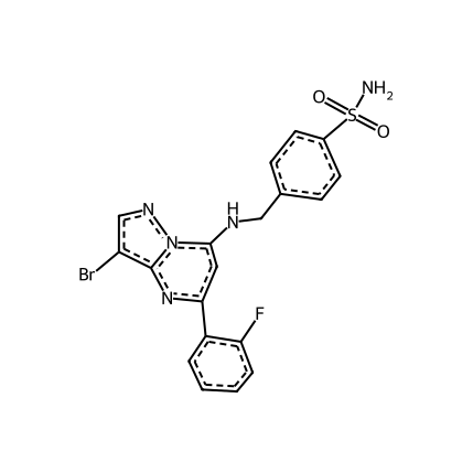 NS(=O)(=O)c1ccc(CNc2cc(-c3ccccc3F)nc3c(Br)cnn23)cc1